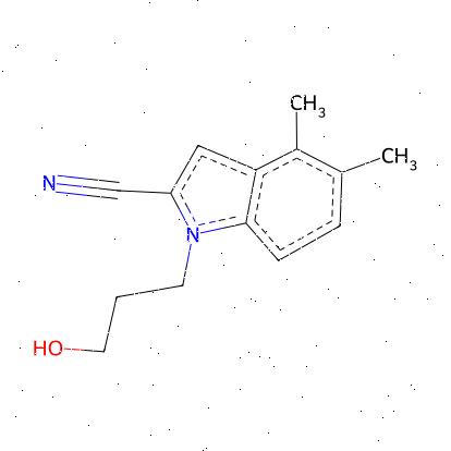 Cc1ccc2c(cc(C#N)n2CCCO)c1C